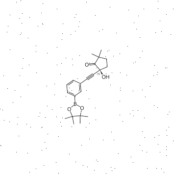 CC1(C)CC[C@](O)(C#Cc2cccc(B3OC(C)(C)C(C)(C)O3)c2)C1=O